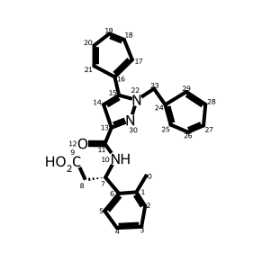 Cc1ccccc1[C@H](CC(=O)O)NC(=O)c1cc(-c2ccccc2)n(Cc2ccccc2)n1